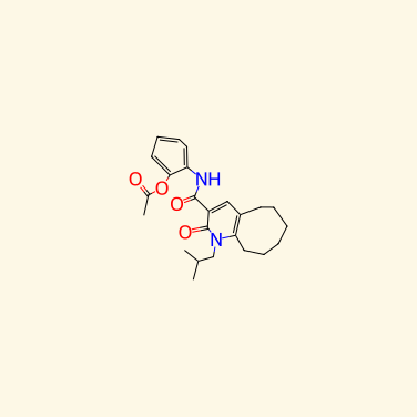 CC(=O)Oc1ccccc1NC(=O)c1cc2c(n(CC(C)C)c1=O)CCCCCC2